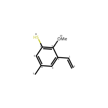 C=Cc1cc(C)cc(S)c1OC